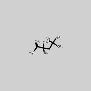 C=C(C)C(C)(CC(C)(C)N)C(C)(C)C